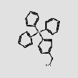 OCc1cc[c]([Pb]([c]2ccccc2)([c]2ccccc2)[c]2ccccc2)cc1